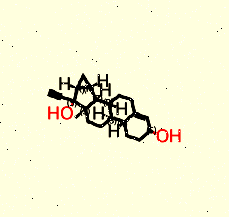 C#C[C@]1(O)[C@@H]2C[C@@H]2[C@H]2[C@@H]3CCC4=C[C@@H](O)CC[C@@H]4[C@H]3CC[C@@]21C